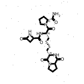 NC(=O)[C@H]1CCCN1C(=O)[C@H](CSSC[C@@H]1NC(=O)C2CCCN2C1=O)NC(=O)C1CC(=O)N1